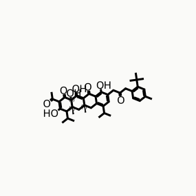 CC(=O)C1=C(O)C(C(C)C)[C@@]2(C)C[C@@]3(C)Cc4c(C(C)C)cc(CC(=O)Cc5ccc(C)cc5C(C)(C)C)c(O)c4C(=O)C3=C(O)[C@@]2(O)C1=O